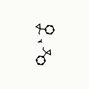 O=C(OCC1(c2ccccc2)CC1)OCC1(c2ccccc2)CC1